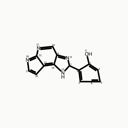 Oc1ccccc1C1N=c2cnc3c(c2N1)C=CN=3